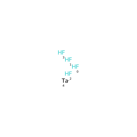 F.F.F.F.[Ta]